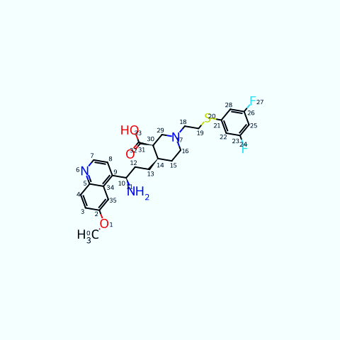 COc1ccc2nccc([C@H](N)CC[C@@H]3CCN(CCSc4cc(F)cc(F)c4)C[C@@H]3C(=O)O)c2c1